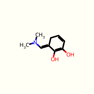 CN(C)C=C1CC=CC(O)=C1O